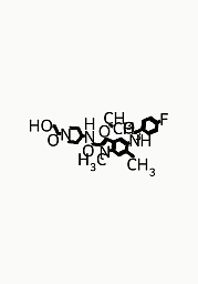 CCc1cc2c(cc1NC(=O)c1ccc(F)cc1)c(OC(C)C)c(C(=O)NC1CCN(C(=O)CO)CC1)n2C